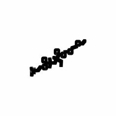 CCOCCOCOC(=O)C(C)(CC)CC(C)(C)C(=O)OCCN(C)C